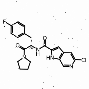 O=C(N[C@@H](Cc1ccc(F)cc1)C(=O)N1CCCC1)c1cc2cc(Cl)ncc2[nH]1